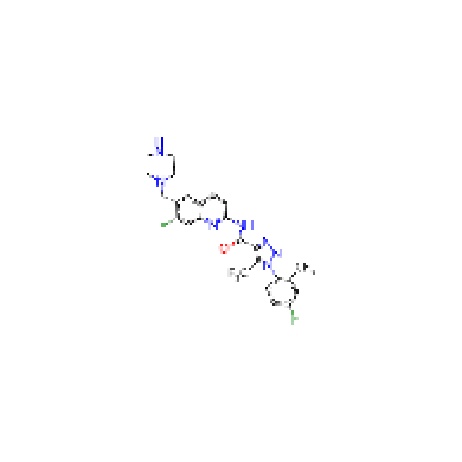 O=C(Nc1ccc2cc(CN3CCNCC3)c(F)cc2n1)c1nnn(-c2ccc(F)cc2C(F)(F)F)c1C(F)(F)F